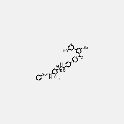 CC(C)(C)c1cc(C(=O)N2CCN(c3ccc(C(=O)NS(=O)(=O)c4ccc(NCCSc5ccccc5)c(C(F)(F)F)c4)cc3)CC2)cc(-c2cncc(O)c2)c1